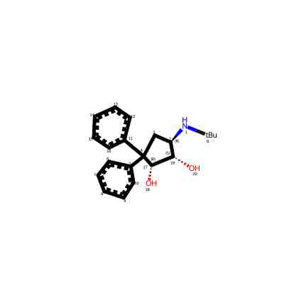 CC(C)(C)N[C@@H]1CC(c2ccccc2)(c2ccccc2)[C@@H](O)[C@H]1O